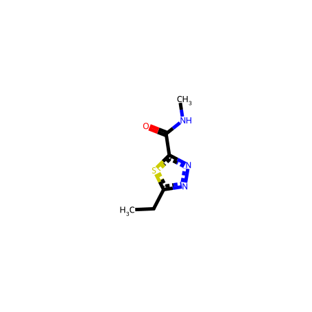 CCc1nnc(C(=O)NC)s1